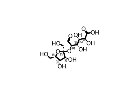 O=C[C@H](O[C@]1(CO)O[C@H](CO)[C@@H](O)[C@@H]1O)[C@@H](O)[C@H](O)[C@H](O)C(=O)O